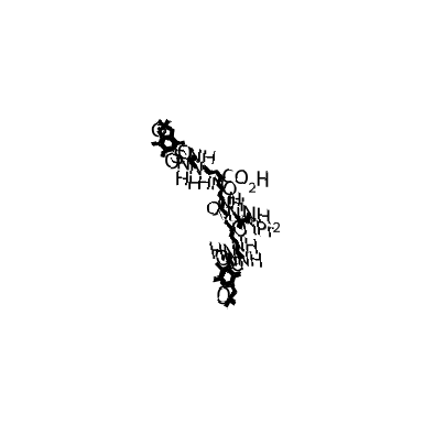 Cc1c(C)c(S(=O)(=O)NC(=N)NCCC[C@H](NC(=O)CNC(=O)[C@H](CCCNC(=N)NS(=O)(=O)c2c(C)c(C)c3c(c2C)CC(C)(C)O3)NC(=O)[C@@H](N)C(C)C)C(=O)O)c(C)c2c1OC(C)(C)C2